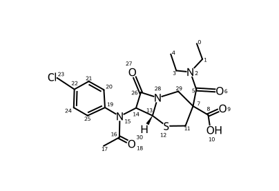 CCN(CC)C(=O)C1(C(=O)O)CS[C@@H]2C(N(C(C)=O)c3ccc(Cl)cc3)C(=O)N2C1